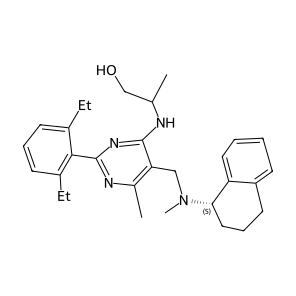 CCc1cccc(CC)c1-c1nc(C)c(CN(C)[C@H]2CCCc3ccccc32)c(NC(C)CO)n1